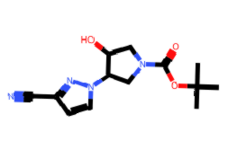 CC(C)(C)OC(=O)N1CC(O)C(n2ccc(C#N)n2)C1